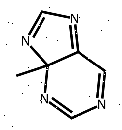 CC12N=CN=CC1=NC=N2